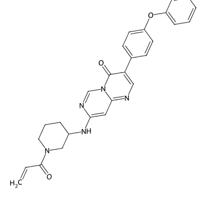 C=CC(=O)N1CCCC(Nc2cc3ncc(-c4ccc(Oc5ccccc5)cc4)c(=O)n3cn2)C1